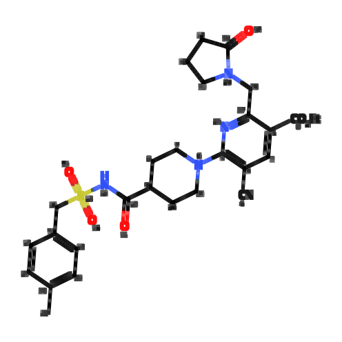 CCOC(=O)c1cc(C#N)c(N2CCC(C(=O)NS(=O)(=O)Cc3ccc(C)cc3)CC2)nc1CN1CCCC1=O